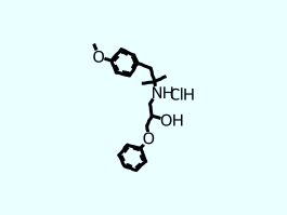 COc1ccc(CC(C)(C)NCC(O)COc2ccccc2)cc1.Cl